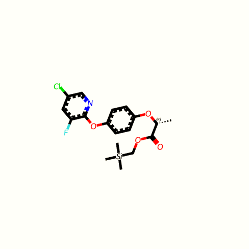 C[C@@H](Oc1ccc(Oc2ncc(Cl)cc2F)cc1)C(=O)OC[Si](C)(C)C